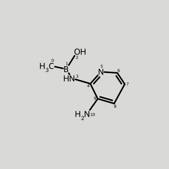 CB(O)Nc1ncccc1N